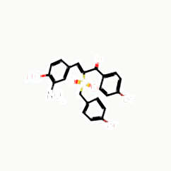 O=C(C(=Cc1ccc(O)c([N+](=O)[O-])c1)S(=O)(=O)Cc1ccc(Br)cc1)c1ccc(Br)cc1